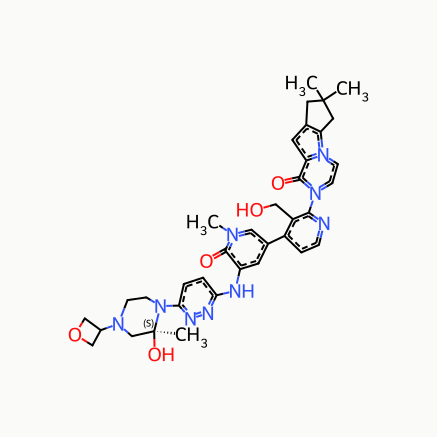 Cn1cc(-c2ccnc(-n3ccn4c5c(cc4c3=O)CC(C)(C)C5)c2CO)cc(Nc2ccc(N3CCN(C4COC4)C[C@]3(C)O)nn2)c1=O